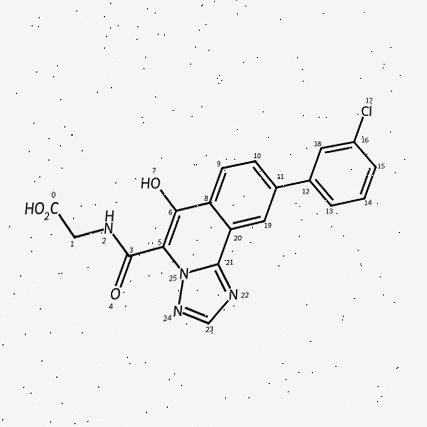 O=C(O)CNC(=O)c1c(O)c2ccc(-c3cccc(Cl)c3)cc2c2ncnn12